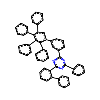 c1ccc(-c2nc(-c3cccc(-c4cc(-c5ccccc5)c(-c5ccccc5)c(-c5ccccc5)c4-c4ccccc4)c3)nc(-c3ccccc3-c3ccccc3)n2)cc1